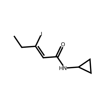 CC/C(I)=C/C(=O)NC1CC1